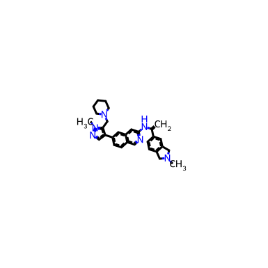 C=C(Nc1cc2cc(-c3cnn(C)c3CN3CCCCC3)ccc2cn1)c1ccc2c(c1)CN(C)C2